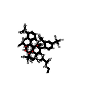 CCOC(=O)C(C)Oc1c([N+](=O)[O-])ccc(Oc2ccc([N+](=O)[O-])c(OC(C)C(=O)OCC)c2-c2ccc(C(F)(F)F)cc2C#N)c1-c1ccc(C(F)(F)F)cc1C#N